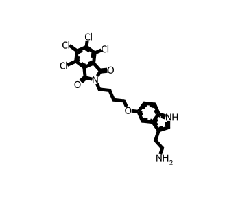 NCCc1c[nH]c2ccc(OCCCCN3C(=O)c4c(Cl)c(Cl)c(Cl)c(Cl)c4C3=O)cc12